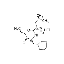 CSCC(=O)[C@H](Cc1ccccc1)NC(=O)[C@@H](N)CC(C)C.Cl